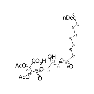 CCCCCCCCCCCCCCCCCC(=O)OCC(O)COC(=O)C(OC(C)=O)C(OC(C)=O)C(=O)O